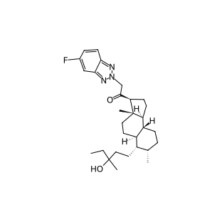 CCC(C)(O)CC[C@@H]1[C@H]2CC[C@]3(C)[C@@H](C(=O)Cn4nc5ccc(F)cc5n4)CC[C@H]3[C@@H]2CC[C@@H]1C